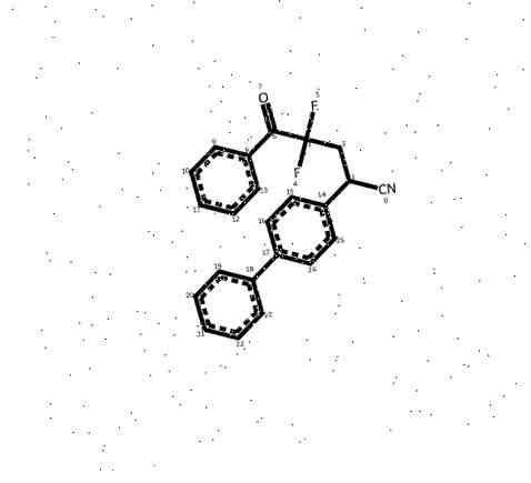 N#CC(CC(F)(F)C(=O)c1ccccc1)c1ccc(-c2ccccc2)cc1